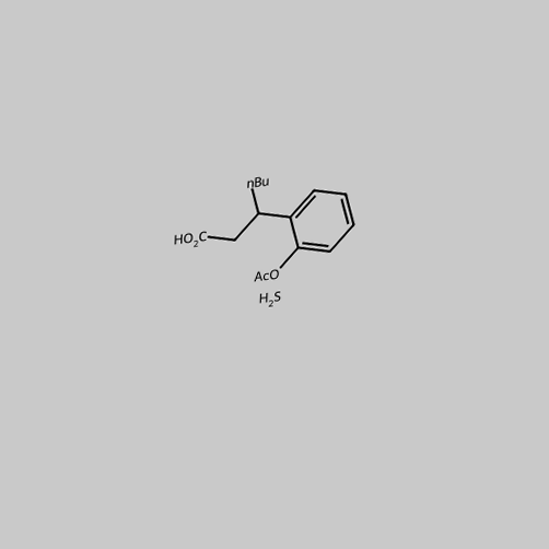 CCCCC(CC(=O)O)c1ccccc1OC(C)=O.S